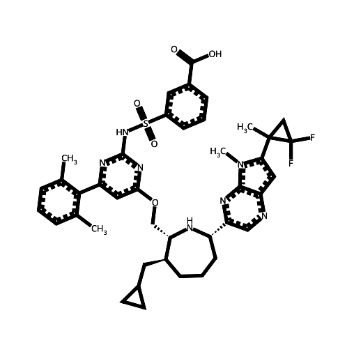 Cc1cccc(C)c1-c1cc(OC[C@@H]2N[C@H](c3cnc4cc(C5(C)CC5(F)F)n(C)c4n3)CCC[C@H]2CC2CC2)nc(NS(=O)(=O)c2cccc(C(=O)O)c2)n1